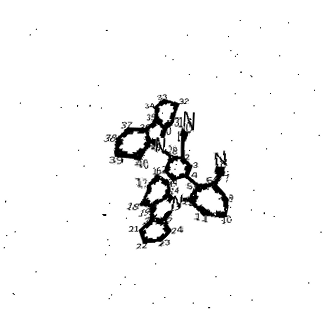 N#Cc1cc(-c2c(C#N)cccc2-n2c3ccccc3c3ccccc32)ccc1-n1c2ccccc2c2ccccc21